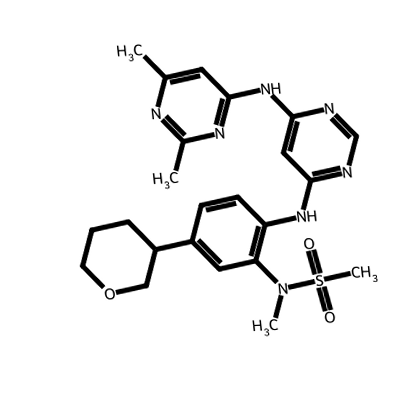 Cc1cc(Nc2cc(Nc3ccc(C4CCCOC4)cc3N(C)S(C)(=O)=O)ncn2)nc(C)n1